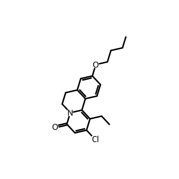 CCCCOc1ccc2c(c1)CCn1c-2c(CC)c(Cl)cc1=O